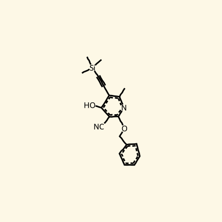 Cc1nc(OCc2ccccc2)c(C#N)c(O)c1C#C[Si](C)(C)C